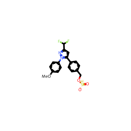 COc1ccc(-n2nc(C(F)F)cc2-c2ccc(CO[SH](=O)=O)cc2)cc1